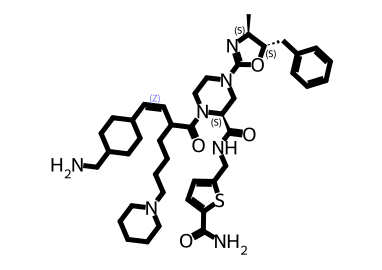 C[C@@H]1N=C(N2CCN(C(=O)C(/C=C\C3CCC(CN)CC3)CCCCN3CCCCC3)[C@H](C(=O)NCc3ccc(C(N)=O)s3)C2)O[C@H]1Cc1ccccc1